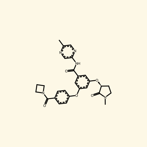 Cc1cnc(NC(=O)c2cc(Oc3ccc(C(=O)N4CCC4)cc3)cc(O[C@H]3CCN(C)C3=O)c2)cn1